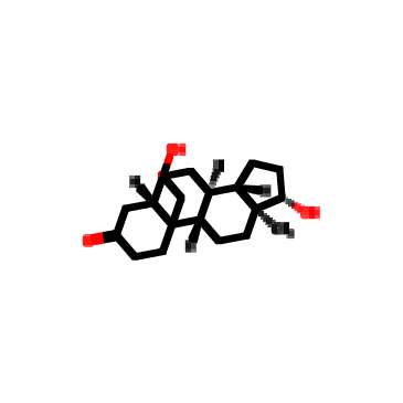 C[C@]12CC[C@H]3[C@@H](CC[C@H]4CC(=O)CCC43CCO)[C@@H]1CC[C@@H]2O